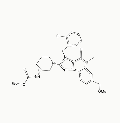 COCc1ccc2c3nc(N4CCC[C@@H](NC(=O)OC(C)(C)C)C4)n(Cc4ccccc4Cl)c3c(=O)n(C)c2c1